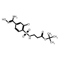 CC(C)(C)OC(=O)CCNS(=O)(=O)c1ccc(/C(N)=N/O)cc1Cl